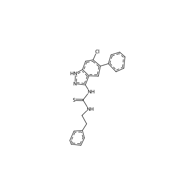 S=C(NCCc1ccccc1)Nc1n[nH]c2cc(Cl)c(-c3ccccc3)cc12